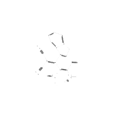 N#CC(C#N)=C1C2=C(Cc3ccccc32)C(=O)C([N+](=O)[O-])=C1[N+](=O)[O-]